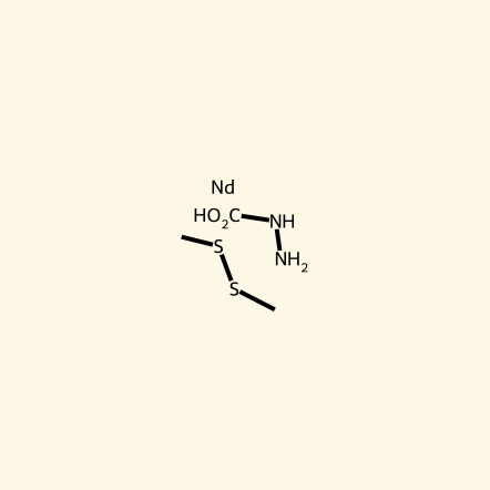 CSSC.NNC(=O)O.[Nd]